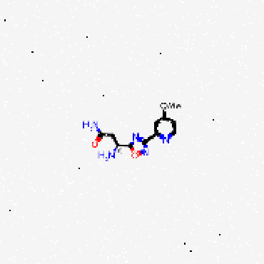 COc1ccnc(-c2noc([C@@H](N)CC(N)=O)n2)c1